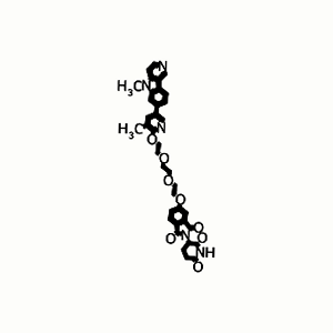 Cc1cc(-c2ccc3c4cnccc4n(C)c3c2)cnc1OCCOCCOCCOc1ccc2c(c1)C(=O)N(C1CCC(=O)NC1=O)C2=O